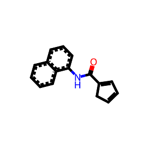 O=C(Nc1cccc2ccccc12)C1=CC=CC1